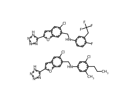 CCCc1c(C)cc(NCc2cc3oc(-c4nnn[nH]4)cc3cc2Cl)cc1Cl.Fc1ccc(NCc2cc3oc(-c4nnn[nH]4)cc3cc2Cl)cc1CC(F)(F)F